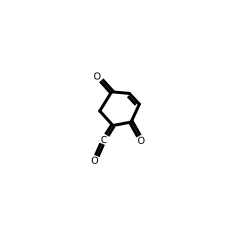 O=C=C1CC(=O)C=CC1=O